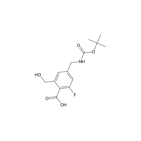 CC(C)(C)OC(=O)NCc1cc(F)c(C(=O)O)c(CO)c1